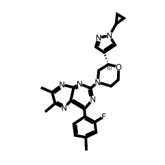 Cc1ccc(-c2nc(N3CCO[C@@H](c4cnn(C5CC5)c4)C3)nc3nc(C)c(C)nc23)c(F)c1